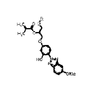 C=C(C)C(=O)OC(COCC)COc1ccc(-n2nc3ccc(OC)cc3n2)c(O)c1